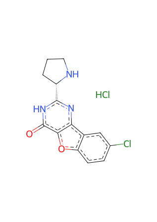 Cl.O=c1[nH]c([C@@H]2CCCN2)nc2c1oc1ccc(Cl)cc12